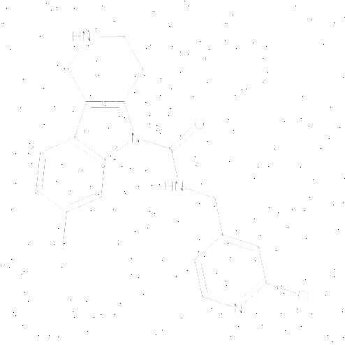 Cc1ccc2c3c(n(C(=O)NCc4ccnc(Cl)c4)c2c1)CCNC3